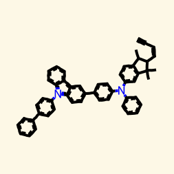 C#C/C=C\C1C(C)c2ccc(N(c3ccccc3)c3ccc(-c4ccc5c(c4)c4ccccc4n5-c4ccc(-c5ccccc5)cc4)cc3)cc2C1(C)C